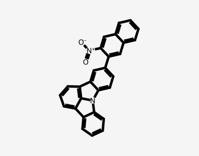 O=[N+]([O-])c1cc2ccccc2cc1-c1ccc2c(c1)c1cccc3c4ccccc4n2c31